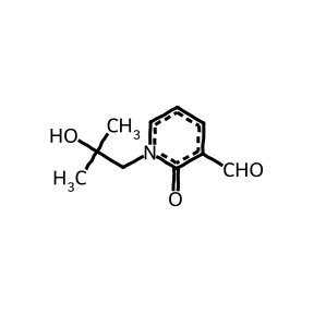 CC(C)(O)Cn1cccc(C=O)c1=O